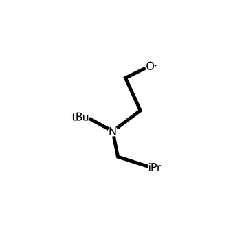 CC(C)CN(CC[O])C(C)(C)C